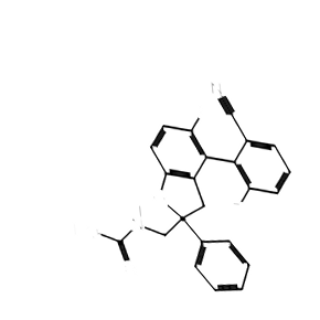 N#Cc1cccc(F)c1-c1c(Cl)ccc2c1CC(CNC(=O)O)(c1ccccc1)O2